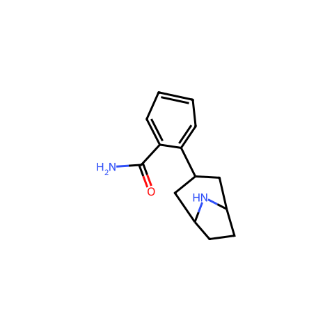 NC(=O)c1ccccc1C1CC2CCC(C1)N2